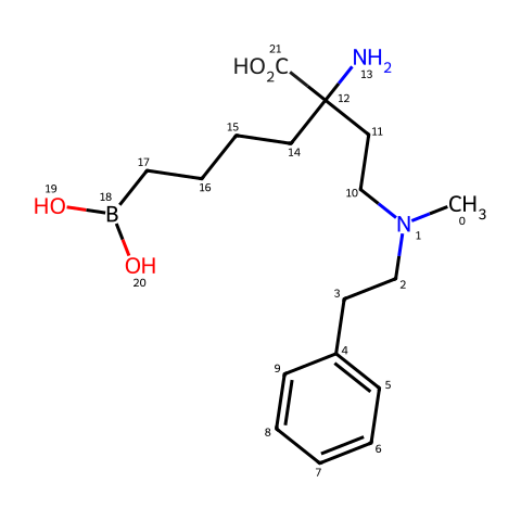 CN(CCc1ccccc1)CCC(N)(CCCCB(O)O)C(=O)O